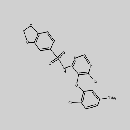 COc1ccc(Cl)c(Oc2c(Cl)ncnc2NS(=O)(=O)c2ccc3c(c2)OCO3)c1